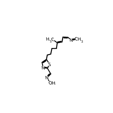 C=N/C=C\C=C(/C)CCCCc1cnc(/C=N/O)s1